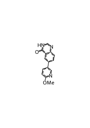 COc1ccc(-c2ccc3nc[nH]c(=O)c3c2)cn1